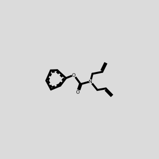 C=CCN(CC=C)C(=O)Oc1ccccc1